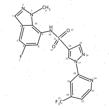 Cn1ncc2cc(F)cc(NS(=O)(=O)c3cnn(-c4cc(C(F)(F)F)ccn4)c3)c21